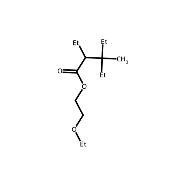 CCOCCOC(=O)C(CC)C(C)(CC)CC